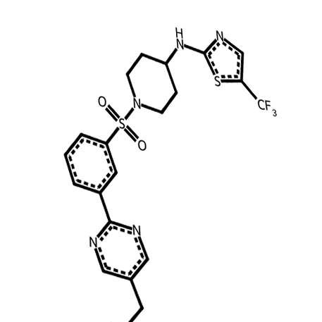 O=S(=O)(c1cccc(-c2ncc(CO)cn2)c1)N1CCC(Nc2ncc(C(F)(F)F)s2)CC1